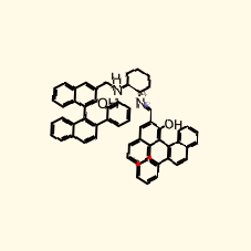 Oc1c(/C=N/[C@H]2CCCCC2NCc2cc3ccccc3c(-c3c(-c4ccccc4)ccc4ccccc34)c2O)cc2ccccc2c1-c1c(-c2ccccc2)ccc2ccccc12